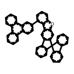 c1ccc2c(c1)-c1ccccc1C21c2ccccc2-c2cc3c(cc21)oc1cccc(-c2ccc4c5ccccc5c5ccccc5c4c2)c13